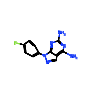 Nc1nc(N)c2cnn(-c3ccc(F)cc3)c2n1